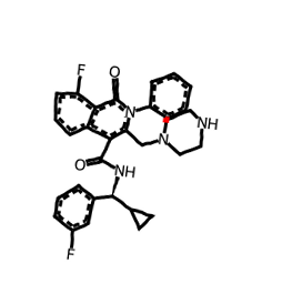 O=C(N[C@H](c1cccc(F)c1)C1CC1)c1c(CN2CCNCC2)n(-c2ccccc2)c(=O)c2c(F)cccc12